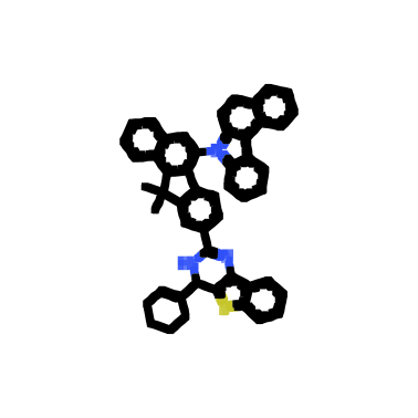 CC1(C)c2cc(C3=Nc4c(sc5ccccc45)C(C4=CCCCC4)N3)ccc2-c2c(-n3c4ccccc4c4c5ccccc5ccc43)cc3ccccc3c21